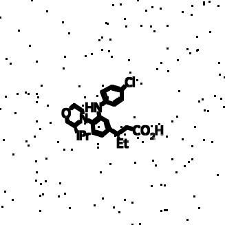 CC[C@@H](CC(=O)O)c1ccc(N2CCOC[C@@H]2C(C)C)c(Nc2ccc(Cl)cc2)c1